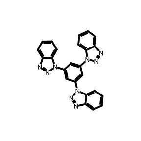 c1ccc2c(c1)nnn2-c1cc(-n2nnc3ccccc32)cc(-n2nnc3ccccc32)c1